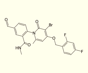 CNC(=O)c1cc(C=O)ccc1-n1c(C)cc(OCc2ccc(F)cc2F)c(Br)c1=O